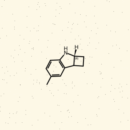 Cc1ccc2c(c1)C1CC[C@H]1N2